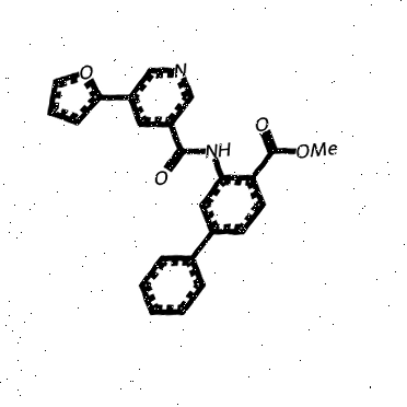 COC(=O)c1ccc(-c2ccccc2)cc1NC(=O)c1cncc(-c2ccco2)c1